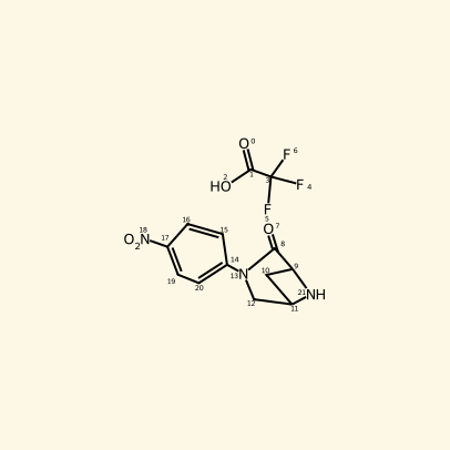 O=C(O)C(F)(F)F.O=C1C2CC(CN1c1ccc([N+](=O)[O-])cc1)N2